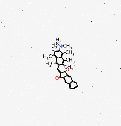 Cc1c(N(C)C)c(C)c2c(C)c(C)c(C=C3C(=O)c4cc5ccccc5cc4C3=O)c(C)c2c1C